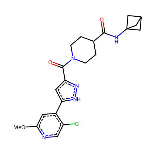 COc1cc(-c2cc(C(=O)N3CCC(C(=O)NC45CC(C4)C5)CC3)n[nH]2)c(Cl)cn1